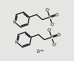 O=P([O-])([O-])CCc1ccncc1.O=P([O-])([O-])CCc1ccncc1.[Zr+4]